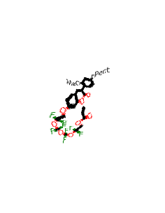 C=CC(=O)OCC(F)(F)OC(F)(F)OC(F)(F)OC(F)(F)COc1ccc2cc(-c3ccc(CCCCC)cc3OC)c(=O)oc2c1